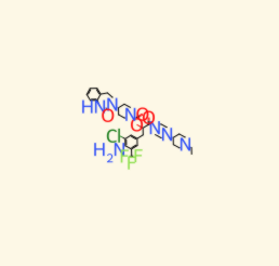 CCN1CCC(N2CCN(C(=O)C(Cc3cc(Cl)c(N)c(C(F)(F)F)c3)OC(=O)N3CCC(N4CCc5ccccc5NC4=O)CC3)CC2)CC1